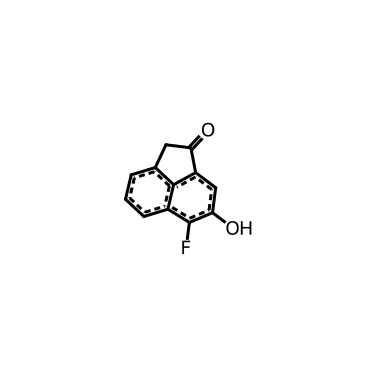 O=C1Cc2cccc3c(F)c(O)cc1c23